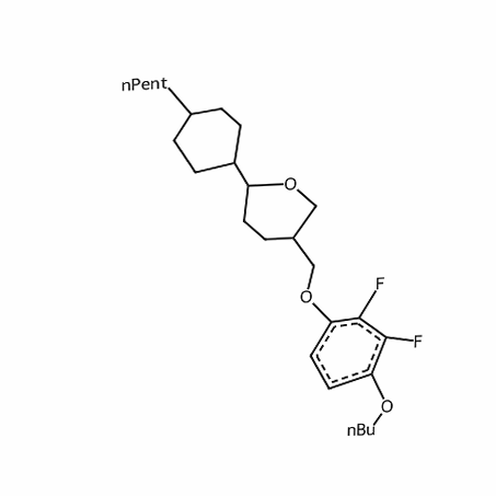 CCCCCC1CCC(C2CCC(COc3ccc(OCCCC)c(F)c3F)CO2)CC1